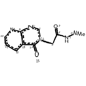 CNNC(=O)Cn1cnc2ncccc2c1=O